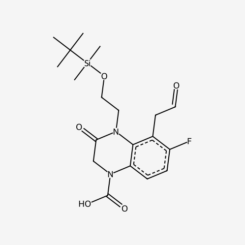 CC(C)(C)[Si](C)(C)OCCN1C(=O)CN(C(=O)O)c2ccc(F)c(CC=O)c21